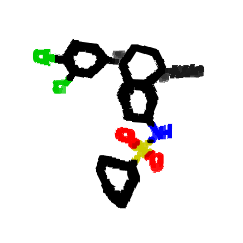 CN[C@H]1CC[C@@H](c2ccc(Cl)c(Cl)c2)c2ccc(NS(=O)(=O)c3ccccc3)cc21